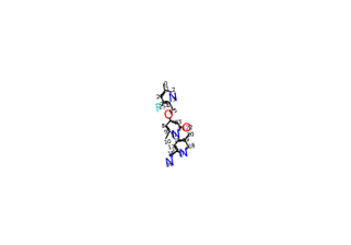 Cc1cnc(COc2cc(C)n(-c3cc(C#N)ncc3C)c(=O)c2)c(F)c1